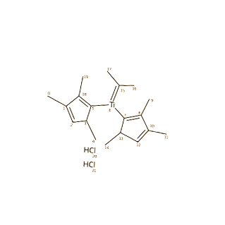 CC1=CC(C)[C]([Ti]([C]2=C(C)C(C)=CC2C)=[C](C)C)=C1C.Cl.Cl